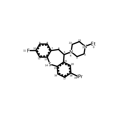 CCN1CCN(C2Cc3ccc(F)cc3Sc3ccc(C(C)C)cc32)CC1